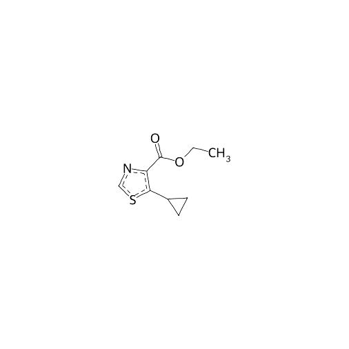 CCOC(=O)c1ncsc1C1CC1